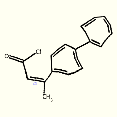 C/C(=C/C(=O)Cl)c1ccc(-c2ccccc2)cc1